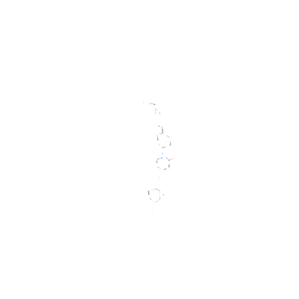 O=C(O)N1CCc2c(oc3cc(-n4ccc(OCc5ccc(F)cn5)cc4=O)ccc23)C1